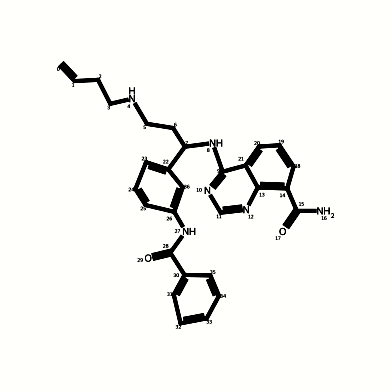 C=CCCNCCC(Nc1ncnc2c(C(N)=O)cccc12)c1cccc(NC(=O)c2ccccc2)c1